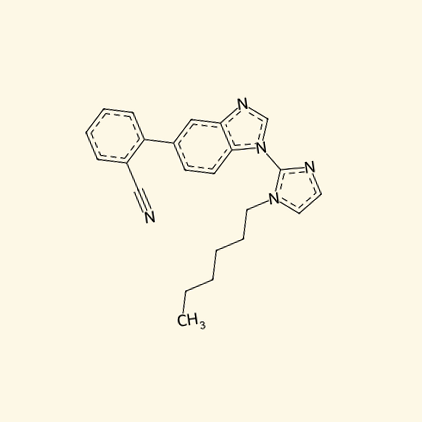 CCCCCCn1ccnc1-n1cnc2cc(-c3ccccc3C#N)ccc21